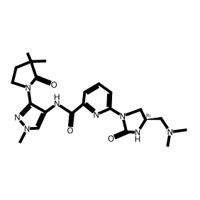 CN(C)C[C@@H]1CN(c2cccc(C(=O)Nc3cn(C)nc3N3CCC(C)(C)C3=O)n2)C(=O)N1